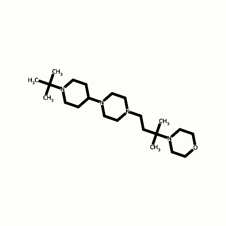 CC(C)(C)N1CCC(N2CCN(CCC(C)(C)N3CCOCC3)CC2)CC1